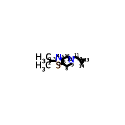 CC(C)c1nc2c(s1)CCN(CC1CC1)C2